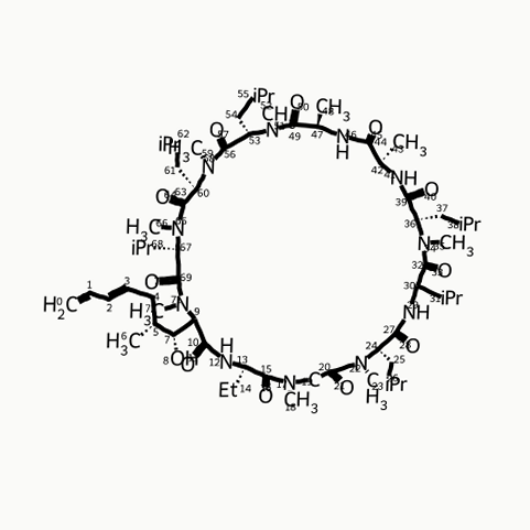 C=C/C=C/C[C@@H](C)[C@@H](O)C1C(=O)N[C@@H](CC)C(=O)N(C)CC(=O)N(C)[C@@H](CC(C)C)C(=O)NC(C(C)C)C(=O)N(C)[C@@H](CC(C)C)C(=O)N[C@@H](C)C(=O)N[C@H](C)C(=O)N(C)[C@@H](CC(C)C)C(=O)N(C)[C@@H](CC(C)C)C(=O)N(C)[C@@H](C(C)C)C(=O)N1C